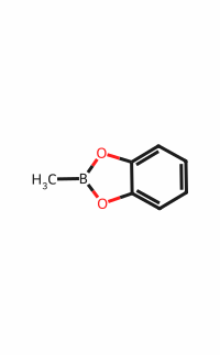 CB1Oc2ccccc2O1